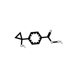 COC(=O)c1ccc(C2(C)CC2)cc1